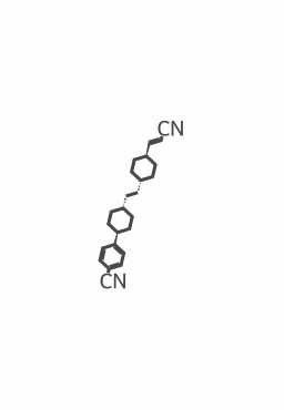 N#C/C=C/[C@H]1CC[C@H](CC[C@H]2CC[C@H](c3ccc(C#N)cc3)CC2)CC1